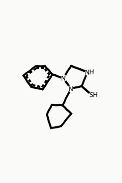 SC1NCN(c2ccccc2)N1C1CCCCC1